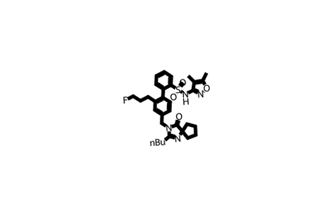 CCCCC1=NC2(CCCC2)C(=O)N1Cc1ccc(-c2ccccc2S(=O)(=O)Nc2noc(C)c2C)c(CCCF)c1